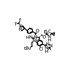 CC(C)(C)CCNC(=N)N(C(=O)c1ccc(-c2cnn(C(F)F)c2)cc1)[C@H](COC(=O)NC1(C(F)(F)F)CC1)c1ccc(Cl)c(-c2nnn[nH]2)c1